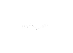 C#C/C=N/O